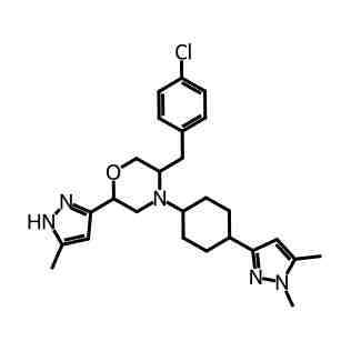 Cc1cc(C2CN(C3CCC(c4cc(C)n(C)n4)CC3)C(Cc3ccc(Cl)cc3)CO2)n[nH]1